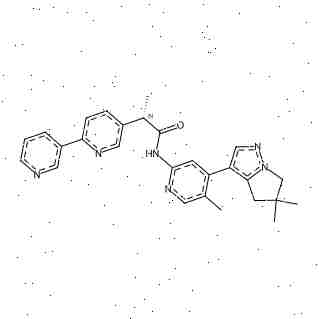 Cc1cnc(NC(=O)[C@@H](C)c2ccc(-c3cccnc3)nc2)cc1-c1cnn2c1CC(C)(C)C2